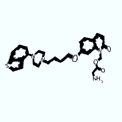 NCC(=O)OCn1c(=O)ccc2ccc(OCCCCN3CCN(c4cccc5sccc45)CC3)cc21